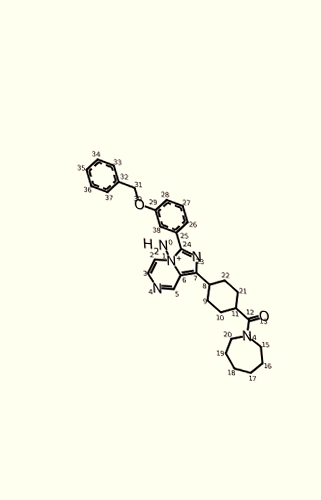 N[N+]12C=CN=CC1=C(C1CCC(C(=O)N3CCCCCC3)CC1)N=C2c1cccc(OCc2ccccc2)c1